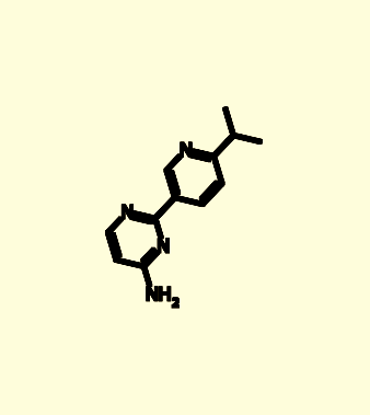 CC(C)c1ccc(-c2nccc(N)n2)cn1